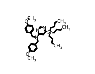 CCC[CH2][Sn]([CH2]CCC)([CH2]CCC)[c]1cc(N(Cc2ccc(OC)cc2)Cc2ccc(OC)cc2)ncn1